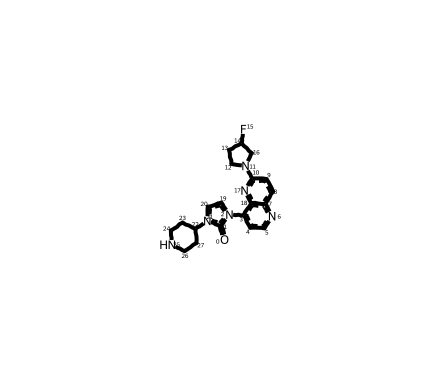 O=c1n(-c2ccnc3ccc(N4CCC(F)C4)nc23)ccn1C1CCNCC1